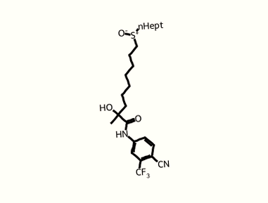 CCCCCCC[S+]([O-])CCCCCCCC(C)(O)C(=O)Nc1ccc(C#N)c(C(F)(F)F)c1